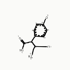 CC(Cl)C(C(=O)O)c1ccc(Cl)cc1